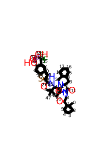 Cc1ccccc1C1CN(C(=O)[C@@H]2Cc3ccccc3CN2C(=O)C(NC(=O)c2cc3cc(C(F)(F)P(=O)(O)O)ccc3s2)C(C)(C)C)CCO1